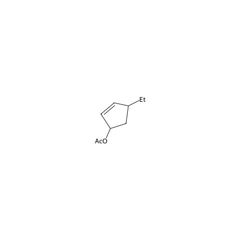 CCC1C=CC(OC(C)=O)C1